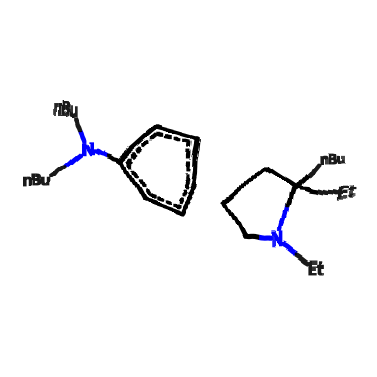 CCCCC1(CC)CCCN1CC.CCCCN(CCCC)c1ccccc1